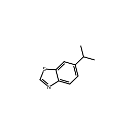 CC(C)c1ccc2ncsc2c1